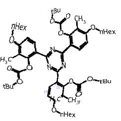 C=C(C)/C(OC(=O)OC(C)(C)C)=C(\C=C/COCCCCCC)c1nc(-c2ccc(OCCCCCC)c(C)c2OC(=O)OC(C)(C)C)nc(-c2ccc(OCCCCCC)c(C)c2OC(=O)OC(C)(C)C)n1